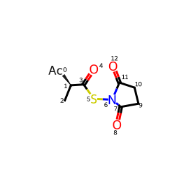 CC(=O)[C@H](C)C(=O)SN1C(=O)CCC1=O